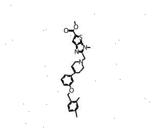 COC(=O)c1cc2nc(CN3CC=C(c4cccc(OCc5ccc(C)cc5C)c4)CC3)n(C)c2s1